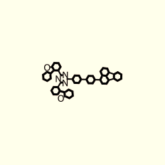 c1ccc2c(c1)-c1cccc3c(-c4ccc(-c5ccc(-c6nc(-c7cccc8oc9ccccc9c78)nc(-c7cccc8oc9ccccc9c78)n6)cc5)cc4)ccc-2c13